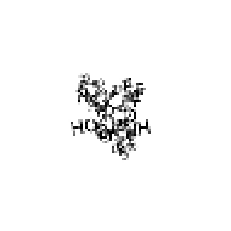 O=C(O)c1c(-n2c(=O)[nH]c3cscc3c2=O)c2cc(C(F)(F)F)ccc2n1Cc1ccccn1